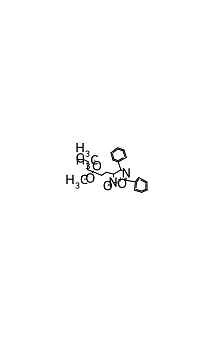 CCCC(CCC(C(N=Cc1ccccc1)c1ccccc1)[N+](=O)[O-])(OC)OC